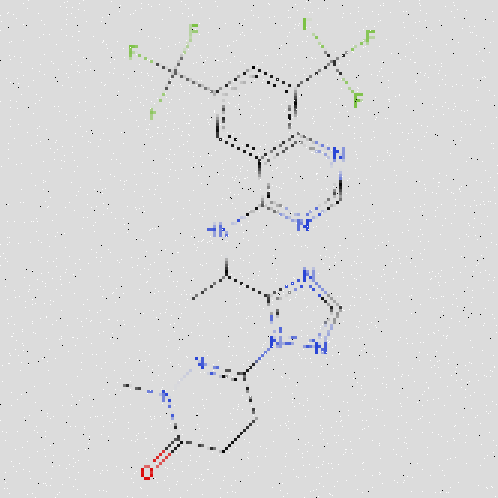 CC(Nc1ncnc2c(C(F)(F)F)cc(C(F)(F)F)cc12)c1ncnn1C1=NN(C)C(=O)CC1